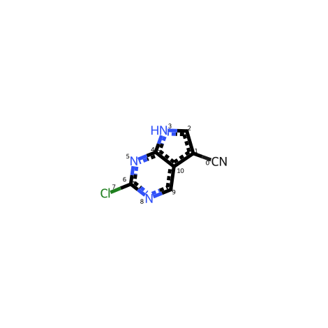 N#Cc1c[nH]c2nc(Cl)ncc12